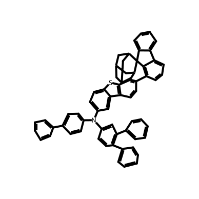 c1ccc(-c2ccc(N(c3ccc(-c4ccccc4)c(-c4ccccc4)c3)c3ccc4sc5cc(-c6cccc7c6C6(c8ccccc8-7)C7CC8CC(C7)CC6C8)ccc5c4c3)cc2)cc1